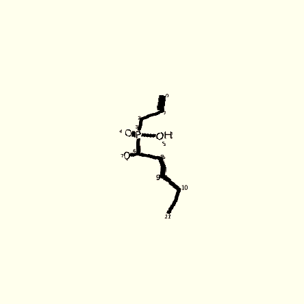 C=CCP(=O)(O)C([O])CCCC